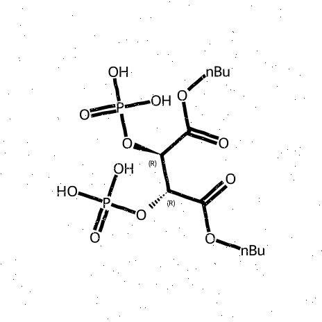 CCCCOC(=O)[C@H](OP(=O)(O)O)[C@@H](OP(=O)(O)O)C(=O)OCCCC